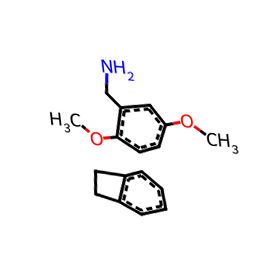 COc1ccc(OC)c(CN)c1.c1ccc2c(c1)CC2